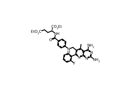 CCOC(=O)CC[C@H](NC(=O)c1ccc(NCc2c(-c3ccccc3F)nc3nc(N)nc(N)c3c2C)cc1)C(=O)OCC